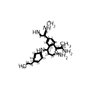 CN/C=C(\C=N)c1ccc2c(c1)C(Nc1ccc(CCO)cc1)CCN(N)/C2=C(/C)N